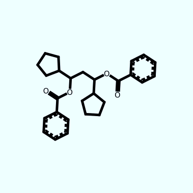 O=C(OC(CC(OC(=O)c1ccccc1)C1CCCC1)C1CCCC1)c1ccccc1